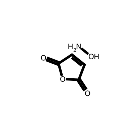 NO.O=C1C=CC(=O)O1